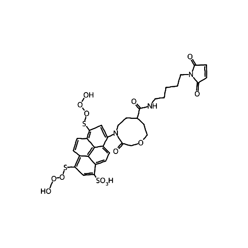 O=C(NCCCCCN1C(=O)C=CC1=O)C1CCOCC(=O)N(c2cc(SOOO)c3ccc4c(SOOO)cc(S(=O)(=O)O)c5ccc2c3c45)CC1